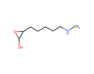 CNCCCCCC1OC1O